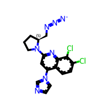 [N-]=[N+]=NC[C@@H]1CCCN1c1cc(-n2ccnc2)c2ccc(Cl)c(Cl)c2n1